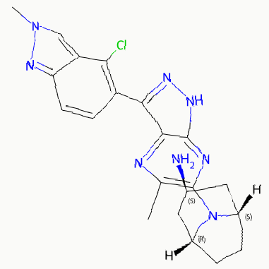 Cc1nc2c(-c3ccc4nn(C)cc4c3Cl)n[nH]c2nc1N1[C@@H]2CC[C@H]1C[C@H](N)C2